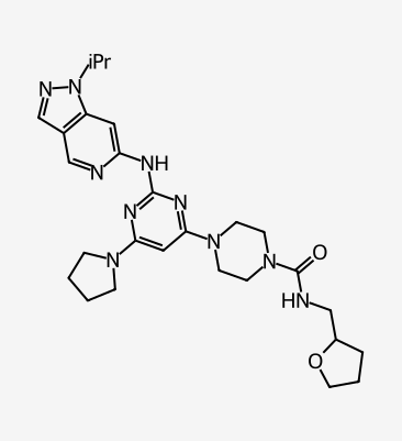 CC(C)n1ncc2cnc(Nc3nc(N4CCCC4)cc(N4CCN(C(=O)NCC5CCCO5)CC4)n3)cc21